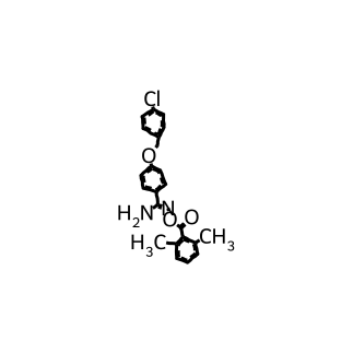 Cc1cccc(C)c1C(=O)O/N=C(\N)c1ccc(OCc2ccc(Cl)cc2)cc1